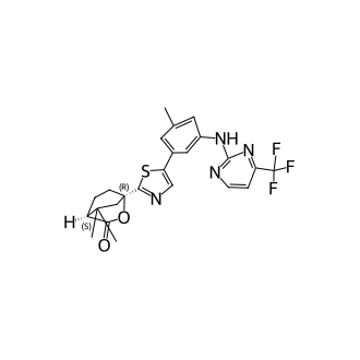 Cc1cc(Nc2nccc(C(F)(F)F)n2)cc(-c2cnc([C@]34CC[C@H](C(=O)O3)C(C)(C)C4)s2)c1